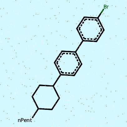 CCCCCC1CCC(c2ccc(-c3ccc(Br)cc3)cc2)CC1